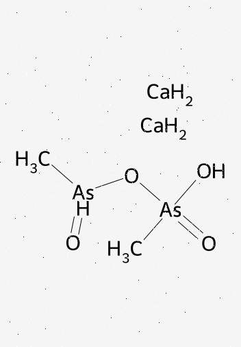 C[AsH](=O)O[As](C)(=O)O.[CaH2].[CaH2]